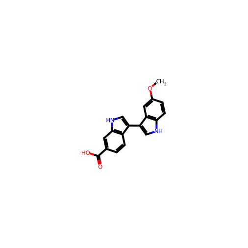 COc1ccc2[nH]cc(-c3c[nH]c4cc(C(=O)O)ccc34)c2c1